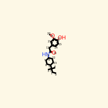 CCC(C)(C)C1CCC(NC(=O)Cc2ccc(O)c(OC)c2)CC1